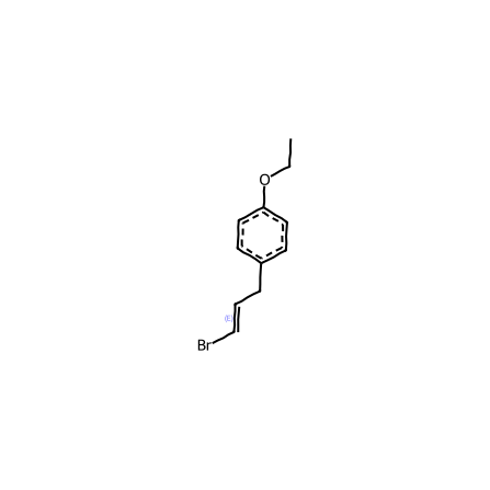 CCOc1ccc(C/C=C/Br)cc1